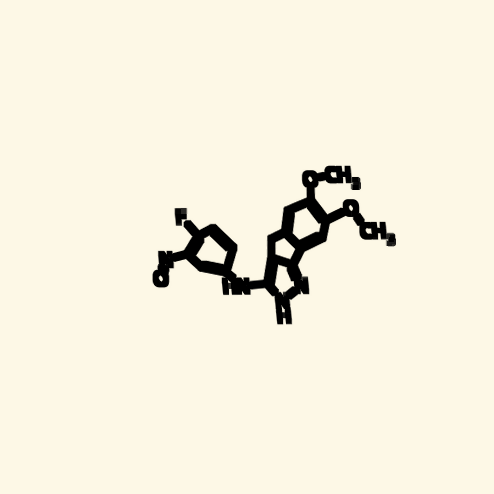 COc1cc2c(cc1OC)-c1n[nH]c(Nc3ccc(F)c(N=O)c3)c1C2